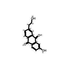 O=C1c2ccc(O)cc2C(=O)c2cc(CCO)ccc21